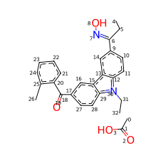 CC(=O)O.CCC(=NO)c1ccc2c(c1)c1cc(C(=O)c3ccccc3C)ccc1n2CC